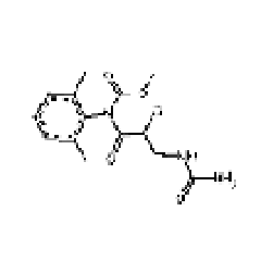 COC(=O)N(C(=O)C(Cl)CNC(N)=O)c1c(C)cccc1C